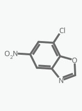 O=[N+]([O-])c1cc(Cl)c2ocnc2c1